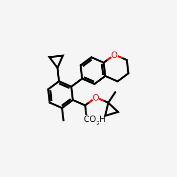 Cc1ccc(C2CC2)c(-c2ccc3c(c2)CCCO3)c1C(OC1(C)CC1)C(=O)O